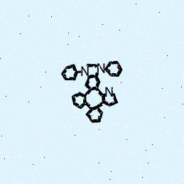 c1ccc(-n2ccn(-c3ccccc3)c3cc4c(cc32)c2ccccc2c2ccccc2c2cccnc24)cc1